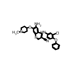 CN1CCC(Oc2cc3ncc(C#N)c(Nc4ccc(Oc5ccccc5)c(Cl)c4)c3cc2N)CC1